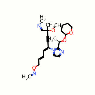 C=NOC/C=C/C=C(/C#CC(C)(/C=N\C)OC)n1ccnc1[C@H](C)OC1CCCCO1